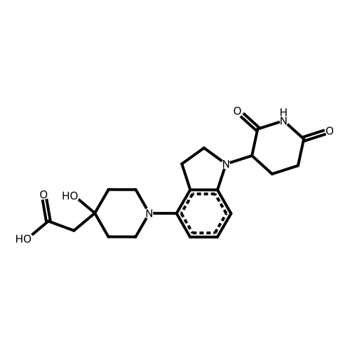 O=C(O)CC1(O)CCN(c2cccc3c2CCN3C2CCC(=O)NC2=O)CC1